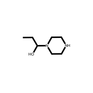 CCC(O)N1CCNCC1